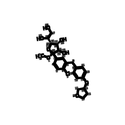 CO[C@]1(c2ccc(Cl)c(Cc3ccc(O[C@H]4CCOC4)cc3)c2)O[C@H](C(O)CO)[C@H](O)[C@H]1O